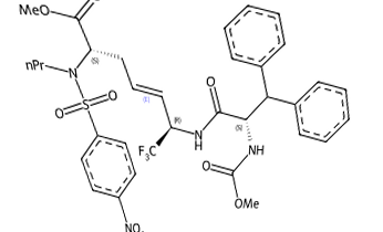 CCCN([C@@H](C/C=C/[C@@H](NC(=O)[C@@H](NC(=O)OC)C(c1ccccc1)c1ccccc1)C(F)(F)F)C(=O)OC)S(=O)(=O)c1ccc([N+](=O)[O-])cc1